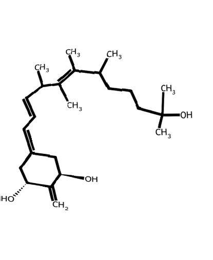 C=C1[C@H](O)CC(=C/C=C/C(C)/C(C)=C(\C)C(C)CCCC(C)(C)O)C[C@H]1O